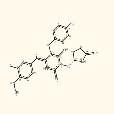 Cc1cc(/N=c2\[nH]c(=O)n(C[C@@H]3CCC(=O)N3)c(=O)n2Cc2ccc(Cl)cc2)ccc1OC(C)C